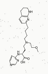 COCCN(CCCCc1ccc2c(n1)NCCC2)CC[C@H](Nc1ccncn1)C(=O)O